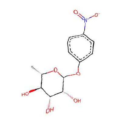 C[C@@H]1OC(Oc2ccc([N+](=O)[O-])cc2)[C@H](O)[C@H](O)[C@H]1O